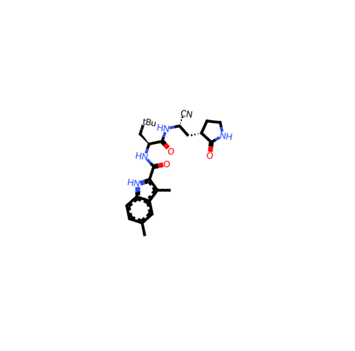 Cc1ccc2[nH]c(C(=O)N[C@@H](CC(C)(C)C)C(=O)N[C@H](C#N)C[C@@H]3CCNC3=O)c(C)c2c1